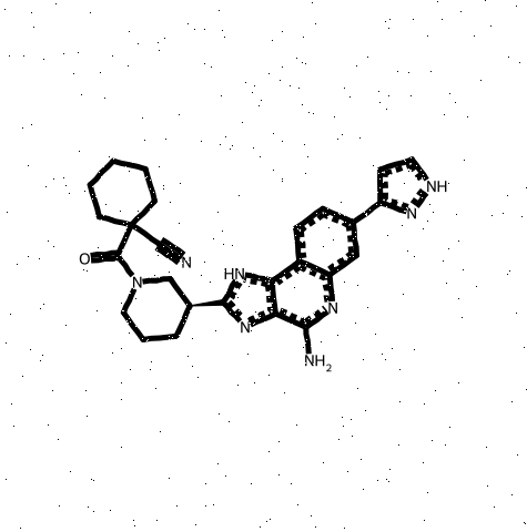 N#CC1(C(=O)N2CCC[C@H](c3nc4c(N)nc5cc(-c6cc[nH]n6)ccc5c4[nH]3)C2)CCCCC1